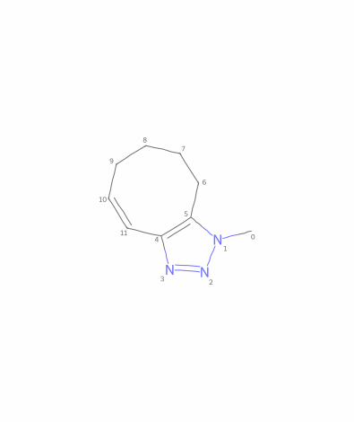 Cn1nnc2c1CCCC/C=C\2